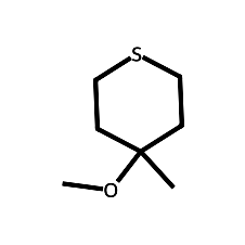 COC1(C)CCSCC1